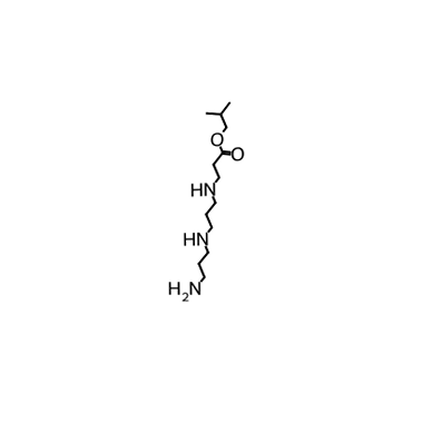 CC(C)COC(=O)CCNCCCNCCCN